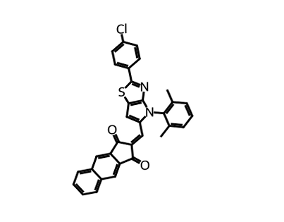 Cc1cccc(C)c1-n1c(C=C2C(=O)c3cc4ccccc4cc3C2=O)cc2sc(-c3ccc(Cl)cc3)nc21